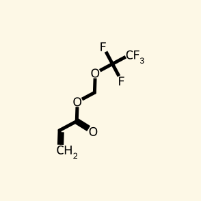 C=CC(=O)OCOC(F)(F)C(F)(F)F